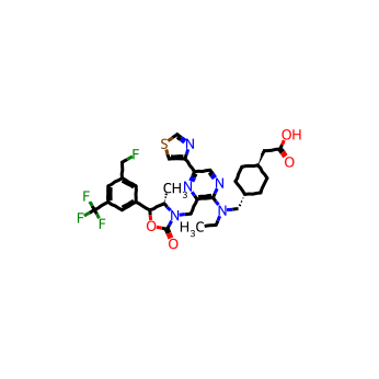 CCN(C[C@H]1CC[C@H](CC(=O)O)CC1)c1ncc(-c2cscn2)nc1CN1C(=O)OC(c2cc(CF)cc(C(F)(F)F)c2)[C@@H]1C